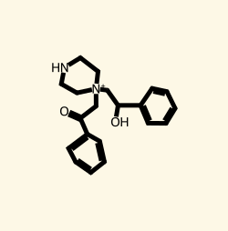 O=C(C[N+]1(CC(O)c2ccccc2)CCNCC1)c1ccccc1